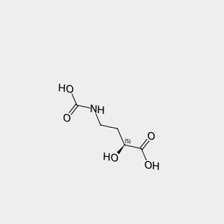 O=C(O)NCC[C@H](O)C(=O)O